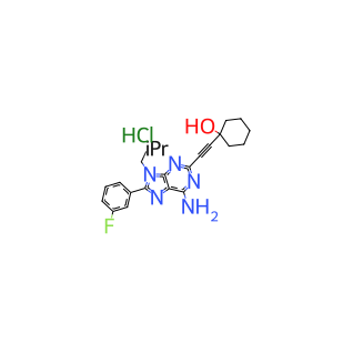 CC(C)Cn1c(-c2cccc(F)c2)nc2c(N)nc(C#CC3(O)CCCCC3)nc21.Cl